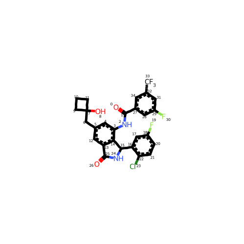 O=C(Nc1cc(CC2(O)CCC2)cc2c1C(c1cc(F)ccc1Cl)NC2=O)c1cc(F)cc(C(F)(F)F)c1